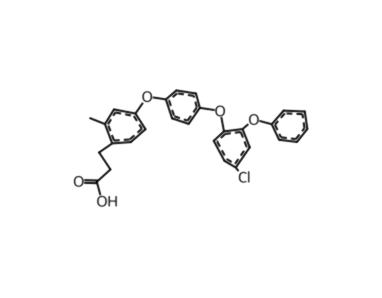 Cc1cc(Oc2ccc(Oc3ccc(Cl)cc3Oc3ccccc3)cc2)ccc1CCC(=O)O